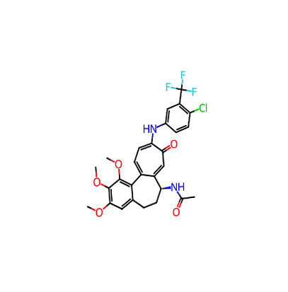 COc1cc2c(c(OC)c1OC)-c1ccc(Nc3ccc(Cl)c(C(F)(F)F)c3)c(=O)cc1[C@@H](NC(C)=O)CC2